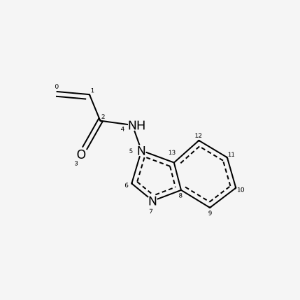 C=CC(=O)Nn1cnc2ccccc21